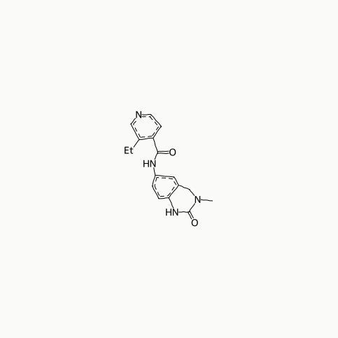 CCc1cnccc1C(=O)Nc1ccc2c(c1)CN(C)C(=O)N2